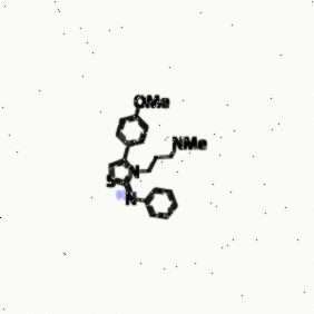 CNCCCn1c(-c2ccc(OC)cc2)cs/c1=N/c1ccccc1